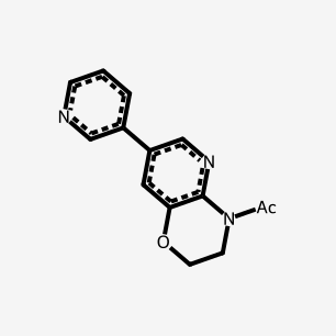 CC(=O)N1CCOc2cc(-c3cccnc3)cnc21